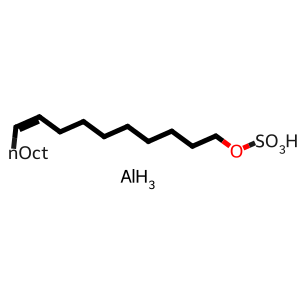 CCCCCCCC/C=C\CCCCCCCCOS(=O)(=O)O.[AlH3]